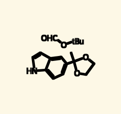 CC(C)(C)OC=O.CC1(c2ccc3[nH]ccc3c2)OCCO1